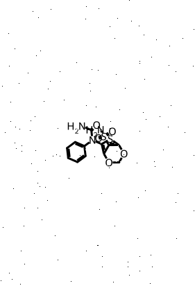 NC(=O)N(c1ccccc1)c1sc2c(S(N)(=O)=O)c1OCO2